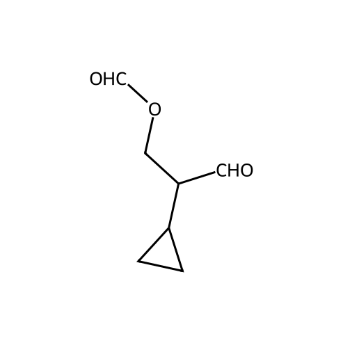 O=COCC(C=O)C1CC1